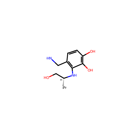 CC(C)[C@H](CO)Nc1c(C[NH])ccc(O)c1O